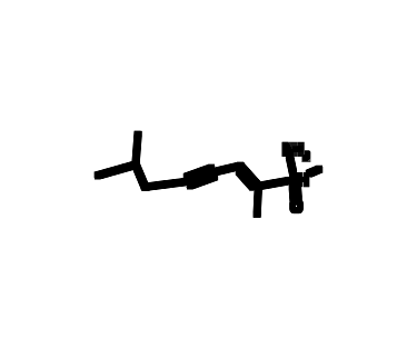 C/C(=C\C#CCC(C)C)[SH](C)(N)=O